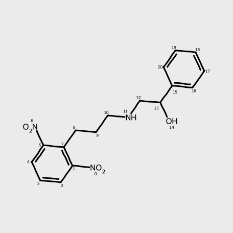 O=[N+]([O-])c1cccc([N+](=O)[O-])c1CCCNCC(O)c1ccccc1